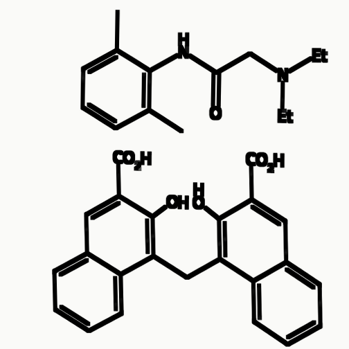 CCN(CC)CC(=O)Nc1c(C)cccc1C.O=C(O)c1cc2ccccc2c(Cc2c(O)c(C(=O)O)cc3ccccc23)c1O